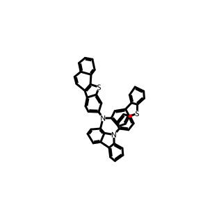 c1ccc(-n2c3ccccc3c3cccc(N(c4ccc5c(c4)sc4c6ccccc6ccc54)c4ccc5sc6ccccc6c5c4)c32)cc1